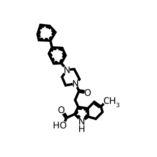 CC1=Cc2c([nH]c(C(=O)O)c2CC(=O)N2CCN(c3ccc(-c4ccccc4)cc3)CC2)CC1